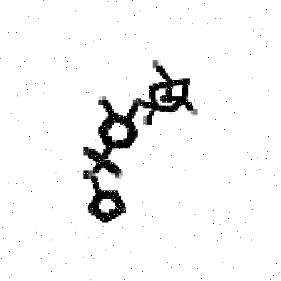 O=S(=O)(Nc1cscn1)c1ccc(O[C@@H]2C[C@H]3C[C@@H](C2)N3)c(Cl)c1